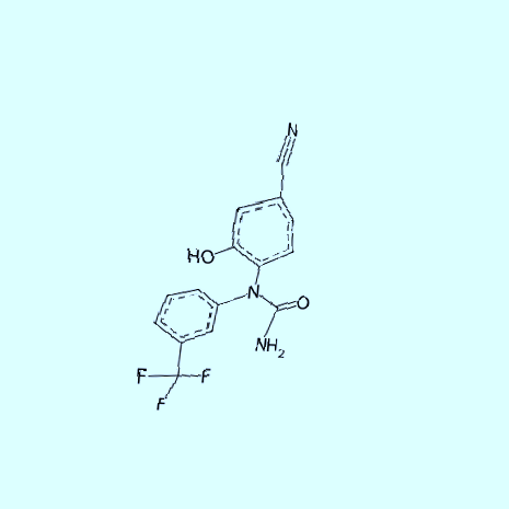 N#Cc1ccc(N(C(N)=O)c2cccc(C(F)(F)F)c2)c(O)c1